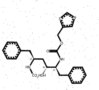 O=C(O)N[C@@H](Cc1ccccc1)C[C@@H](O)[C@H](Cc1ccccc1)NC(=O)OCc1cncs1